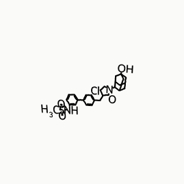 CS(=O)(=O)Nc1cccc(-c2ccc(CC3CCN(C4C5CC6CC4CC(O)(C6)C5)C3=O)c(Cl)c2)c1